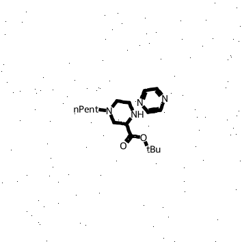 CCCCCN1CCNC(C(=O)OC(C)(C)C)C1.c1cnccn1